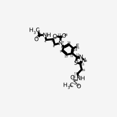 CC(=O)NCC1CN(c2ccc(-c3nnc(CCNS(C)(=O)=O)s3)c(F)c2)C(=O)O1